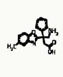 Cc1ccc2oc(C(CN)(CC(=O)O)c3ccccc3)nc2c1